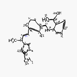 CCC1=C(/C=C/N(C)c2csc(C)n2)OCC[C@H]1CNC1C=NC=CC1C(O)O